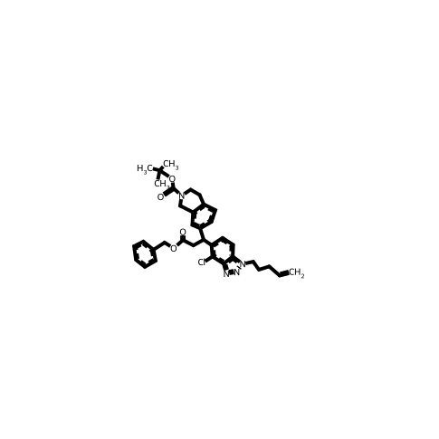 C=CCCCn1nnc2c(Cl)c(C(CC(=O)OCc3ccccc3)c3ccc4c(c3)CN(C(=O)OC(C)(C)C)CC4)ccc21